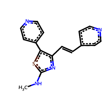 CNc1nc(C=Cc2ccncc2)c(-c2ccncc2)s1